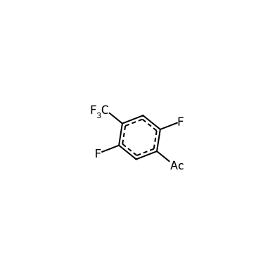 CC(=O)c1cc(F)c(C(F)(F)F)cc1F